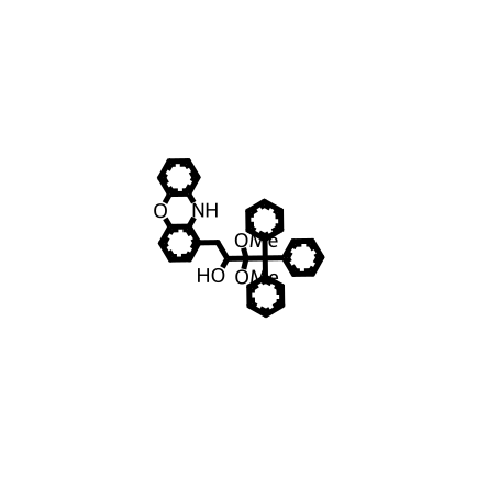 COC(OC)(C(O)Cc1cccc2c1Nc1ccccc1O2)C(c1ccccc1)(c1ccccc1)c1ccccc1